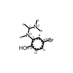 CC(N(C)C)N(C)c1cc(Br)ccc1O